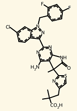 CC(C)(Cc1csc(C2(C)C(=O)Nc3nc(-c4nn(Cc5ccc(F)cc5F)c5cc(Cl)ccc45)nc(N)c32)n1)C(=O)O